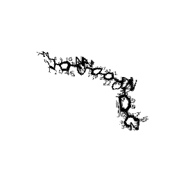 C\C=C/C(=C\C=N\C)c1ccc(-c2nnc(-c3ccc(-c4ccc(-c5nnc(-c6ccc(-c7ccncc7)cc6)o5)cc4)cc3)o2)cc1